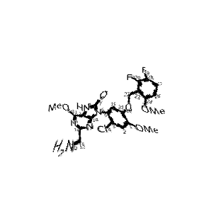 COc1cc(Cl)c(-n2c(=O)[nH]c3c(OC)nc(CN)nc32)cc1OCc1c(OC)ccc(F)c1F